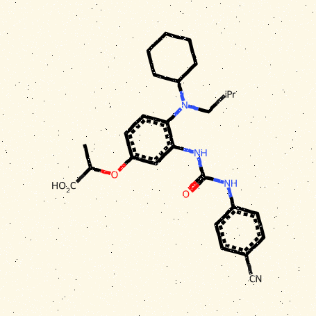 CC(C)CN(c1ccc(OC(C)C(=O)O)cc1NC(=O)Nc1ccc(C#N)cc1)C1CCCCC1